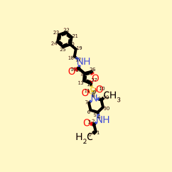 C=CC(=O)NC1CCN(S(=O)(=O)c2cc(C(=O)NCCc3ccccc3)co2)C(C)C1